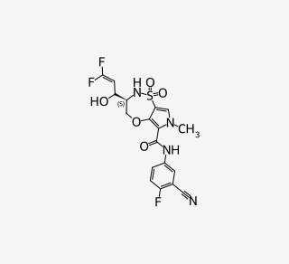 Cn1cc2c(c1C(=O)Nc1ccc(F)c(C#N)c1)OC[C@@H](C(O)C=C(F)F)NS2(=O)=O